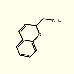 NCC1C=Cc2ccccc2O1